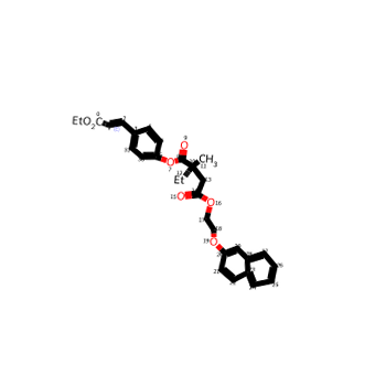 CCOC(=O)/C=C/c1ccc(OC(=O)C(C)(CC)CC(=O)OCCOc2ccc3ccccc3c2)cc1